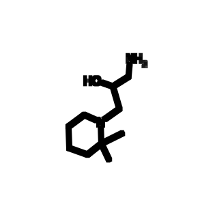 CC1(C)CCCCN1CC(O)CN